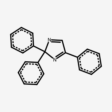 C1=NC(c2ccccc2)(c2ccccc2)N=C1c1ccccc1